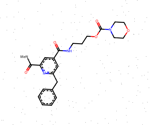 CNC(=O)c1cc(C(=O)NCCCOC(=O)N2CCOCC2)cc(Cc2ccccc2)n1